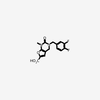 CN1C(=O)N(Cc2ccc(F)c(F)c2)Cc2cc(C(=O)O)oc21